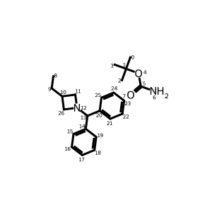 CC(C)(C)OC(N)=O.CCC1CN(C(c2ccccc2)c2ccccc2)C1